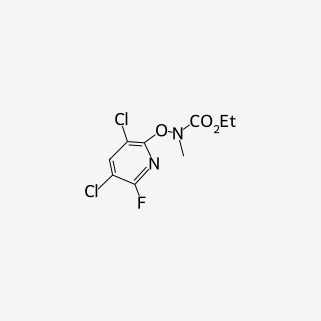 CCOC(=O)N(C)Oc1nc(F)c(Cl)cc1Cl